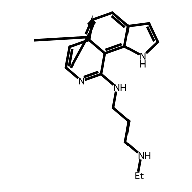 CCNCCCNC1=NC=CC23C(=CC=C(C)C2C)C=c2cc[nH]c2=C13